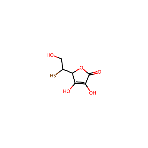 O=C1OC(C(S)CO)C(O)=C1O